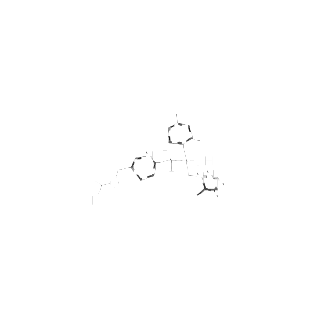 OC(Cn1nn[nH]c1=S)(c1ccc(F)cc1F)C(F)(F)c1ccc(COC(F)F)cn1